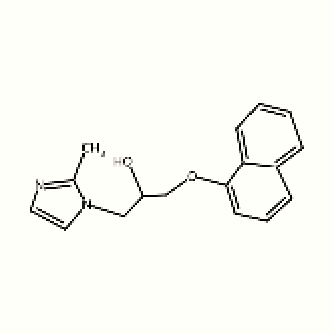 Cc1nccn1CC(O)COc1cccc2ccccc12